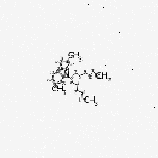 CCCCCCC(CCCCCC)n1c2cc(C)ccc2c2ccc(C)cc21